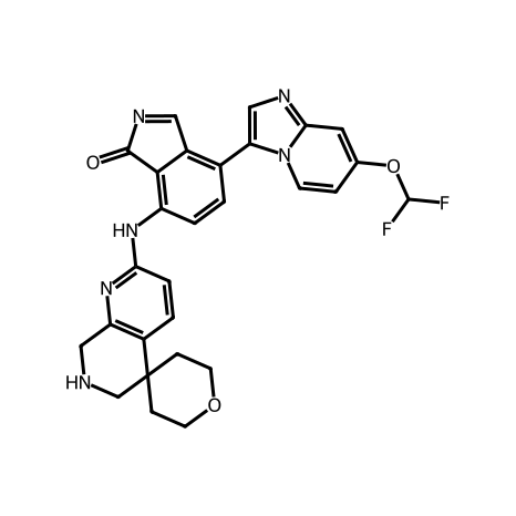 O=C1N=Cc2c(-c3cnc4cc(OC(F)F)ccn34)ccc(Nc3ccc4c(n3)CNCC43CCOCC3)c21